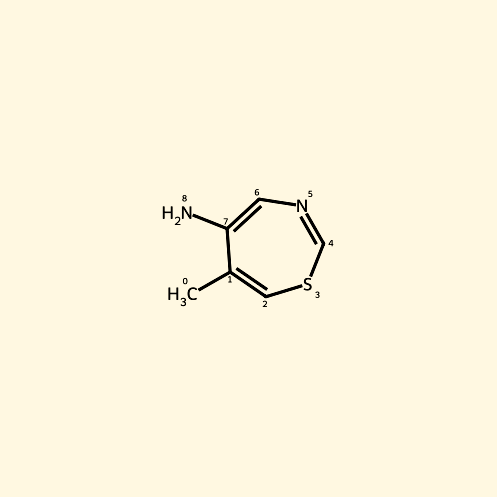 CC1=CSC=NC=C1N